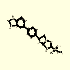 NS(=O)(=O)C1=NN2CC(c3ccc(-c4ccc5c(c4)OCO5)cc3)N=C2S1